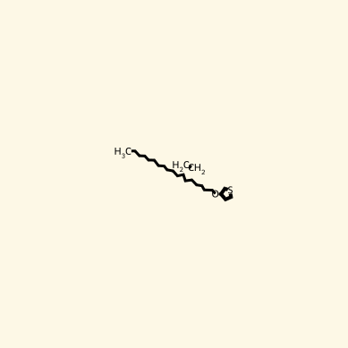 C=C.CCCCCCCCCCCCCCCCCCOc1ccsc1